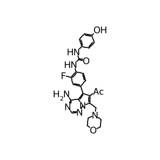 CC(=O)c1c(-c2ccc(NC(=O)Nc3ccc(O)cc3)c(F)c2)c2c(N)ncnn2c1CN1CCOCC1